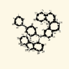 c1ccc(-c2ccc(N(c3ccc4ccc5ccc6ccccc6c5c4c3)c3cccc4sc5ncccc5c34)cc2)cc1